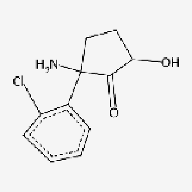 NC1(c2ccccc2Cl)CCC(O)C1=O